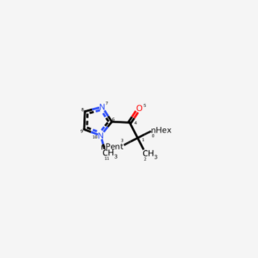 CCCCCCC(C)(CCCCC)C(=O)c1nccn1C